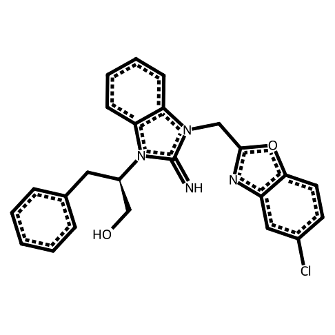 N=c1n(Cc2nc3cc(Cl)ccc3o2)c2ccccc2n1[C@@H](CO)Cc1ccccc1